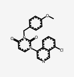 COc1ccc(Cn2c(=O)ccn(-c3cncc4c(Cl)cccc34)c2=O)cc1